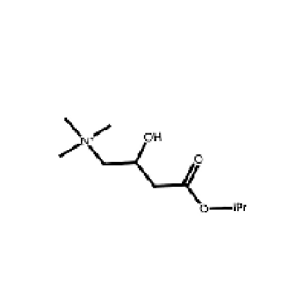 CC(C)OC(=O)CC(O)C[N+](C)(C)C